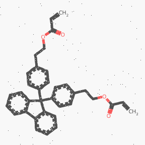 C=CC(=O)OCCc1ccc(C2(c3ccc(CCOC(=O)C=C)cc3)c3ccccc3-c3ccccc32)cc1